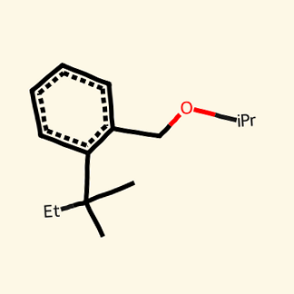 CCC(C)(C)c1ccccc1COC(C)C